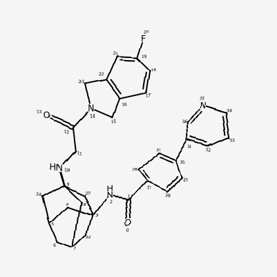 O=C(NC12CC3CC(CC(NCC(=O)N4Cc5ccc(F)cc5C4)(C3)C1)C2)c1ccc(-c2cccnc2)cc1